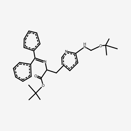 CC(C)(C)OCNc1ccc(CC(N=C(c2ccccc2)c2ccccc2)C(=O)OC(C)(C)C)cn1